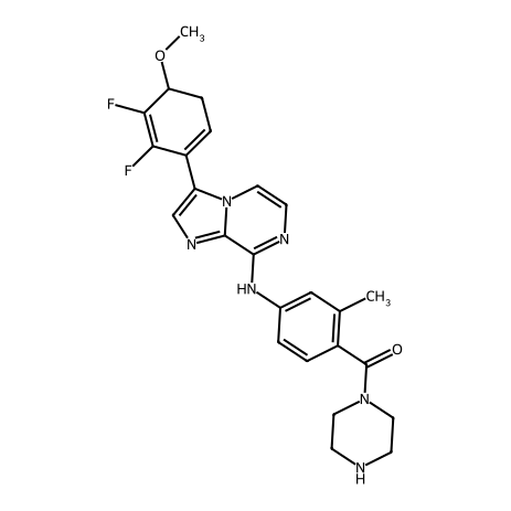 COC1CC=C(c2cnc3c(Nc4ccc(C(=O)N5CCNCC5)c(C)c4)nccn23)C(F)=C1F